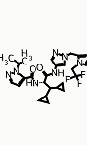 CC(C)n1nccc1C(=O)N[C@H](C(=O)Nc1cnn(Cc2cncn2CC(F)(F)F)c1)C(C1CC1)C1CC1